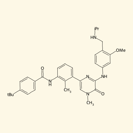 COc1cc(Nc2nc(-c3cccc(NC(=O)c4ccc(C(C)(C)C)cc4)c3C)cn(C)c2=O)ccc1CNC(C)C